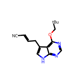 CC(C)(C)COc1ncnc2[nH]cc(C/C=C/C#N)c12